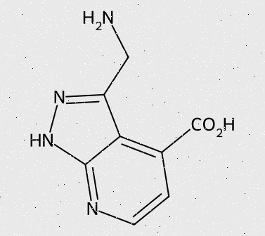 NCc1n[nH]c2nccc(C(=O)O)c12